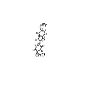 CC(C)Cc1ccc2oc(-c3ccc(C=O)cc3)cc2c1